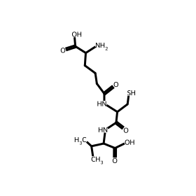 CC(C)C(NC(=O)C(CS)NC(=O)CCCC(N)C(=O)O)C(=O)O